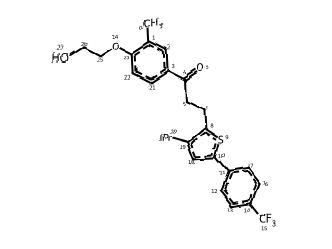 Cc1cc(C(=O)CCc2sc(-c3ccc(C(F)(F)F)cc3)cc2C(C)C)ccc1OCCO